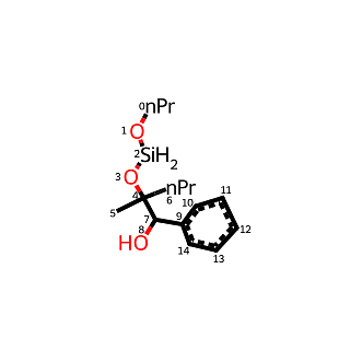 CCCO[SiH2]OC(C)(CCC)C(O)c1ccccc1